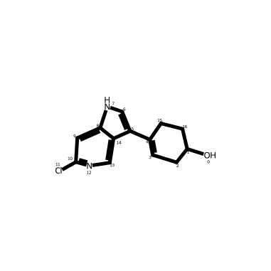 OC1CC=C(c2c[nH]c3cc(Cl)ncc23)CC1